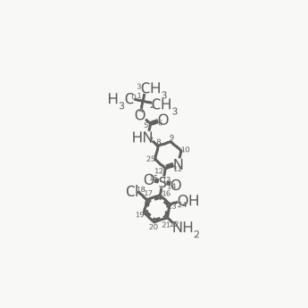 CC(C)(C)OC(=O)NC1CCN=C(S(=O)(=O)c2c(Cl)ccc(N)c2O)C1